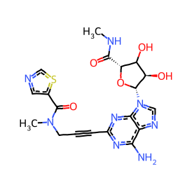 CNC(=O)[C@H]1O[C@@H](n2cnc3c(N)nc(C#CCN(C)C(=O)c4cncs4)nc32)[C@H](O)C1O